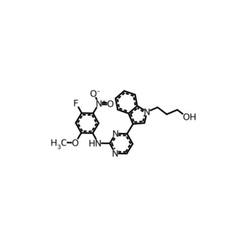 COc1cc(F)c([N+](=O)[O-])cc1Nc1nccc(-c2cn(CCCO)c3ccccc23)n1